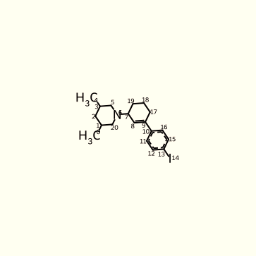 CC1CC(C)CN(C2C=C(c3ccc(I)cc3)CCC2)C1